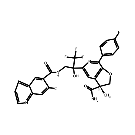 C[C@]1(C(N)=O)COc2c1cc(C(O)(CNC(=O)c1cc3cccnc3cc1Cl)C(F)(F)F)nc2-c1ccc(F)cc1